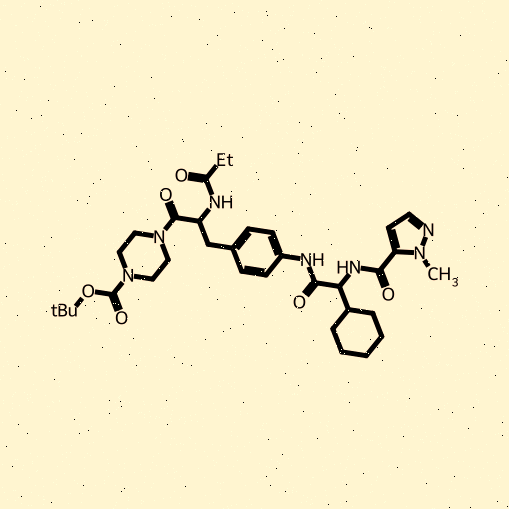 CCC(=O)NC(Cc1ccc(NC(=O)C(NC(=O)c2ccnn2C)C2CCCCC2)cc1)C(=O)N1CCN(C(=O)OC(C)(C)C)CC1